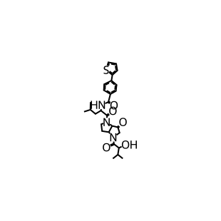 CC(C)CC(NC(=O)c1ccc(-c2cccs2)cc1)C(=O)N1CCC2C1C(=O)CN2C(=O)C(O)C(C)C